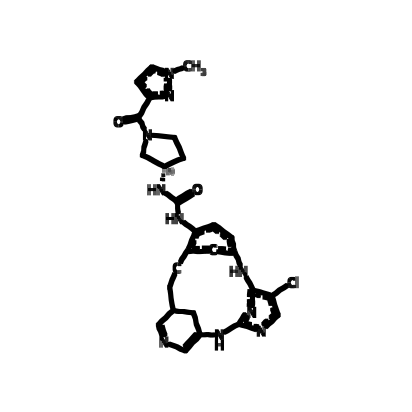 Cn1ccc(C(=O)N2CC[C@H](NC(=O)Nc3ccc4cc3CCC3C=NC=C(C3)Nc3ncc(Cl)c(n3)N4)C2)n1